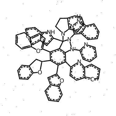 C1=CCC2=CC=C(c3c(C4Cc5ccccc5O4)c(-c4cc5ccccc5o4)c(-c4ccc5ccccc5n4)c4c3C(c3cc5ccccc5[nH]3)(N3CCc5ccccc53)N(c3n[nH]c5ccccc35)[N+]4c3ccccn3)OC2=C1